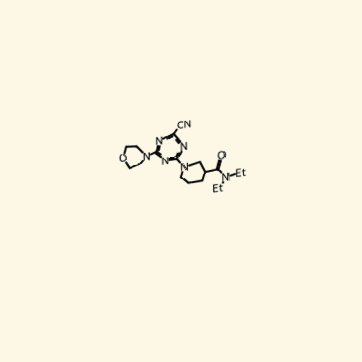 CCN(CC)C(=O)C1CCCN(c2nc(C#N)nc(N3CCOCC3)n2)C1